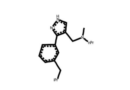 CCCN(C)Cc1c[nH]nc1-c1cccc(CC(C)C)c1